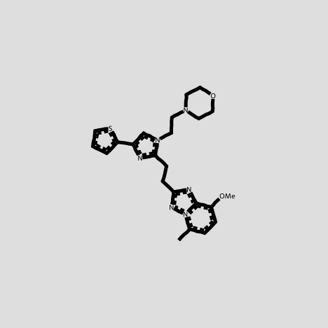 COc1ccc(C)n2nc(CCc3nc(-c4cccs4)cn3CCN3CCOCC3)nc12